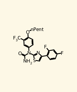 CCCCCOc1ccc(N(C(N)=O)c2nc(-c3ccc(F)cc3F)cs2)cc1C(F)(F)F